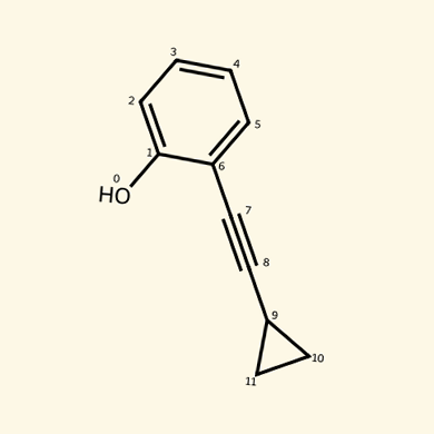 Oc1ccccc1C#CC1CC1